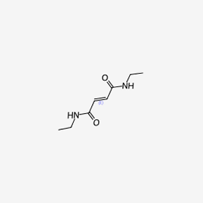 CCNC(=O)/C=C/C(=O)NCC